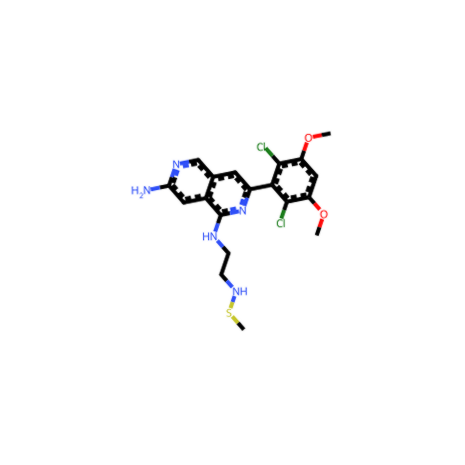 COc1cc(OC)c(Cl)c(-c2cc3cnc(N)cc3c(NCCNSC)n2)c1Cl